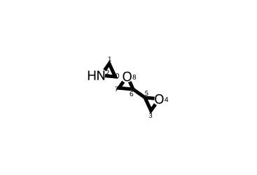 C1CN1.C1OC1C1CO1